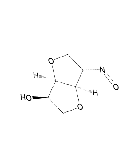 O=NC1CO[C@@H]2[C@H](O)CO[C@H]12